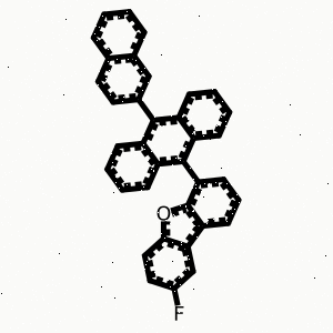 Fc1ccc2oc3c(-c4c5ccccc5c(-c5ccc6ccccc6c5)c5ccccc45)cccc3c2c1